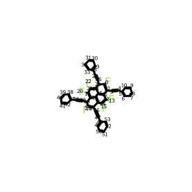 FC1=C(C#Cc2ccccc2)c2c(F)c(F)c3c4c(c(F)c(F)c(c24)C1C#Cc1ccccc1)C(C#Cc1ccccc1)C(F)=C3C#Cc1ccccc1